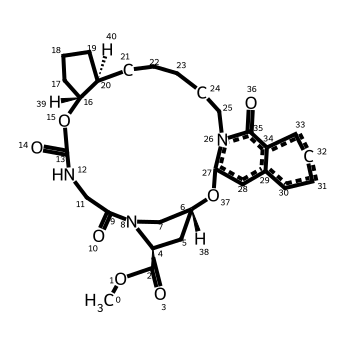 COC(=O)[C@@H]1C[C@@H]2CN1C(=O)CNC(=O)O[C@@H]1CCC[C@H]1CCCCCn1c(cc3ccccc3c1=O)O2